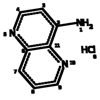 Cl.Nc1ccnc2cccnc12